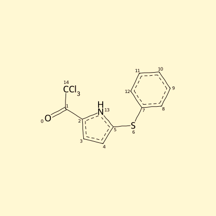 O=C(c1ccc(Sc2ccccc2)[nH]1)C(Cl)(Cl)Cl